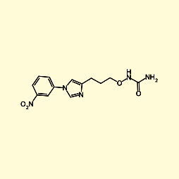 NC(=O)NOCCCc1cn(-c2cccc([N+](=O)[O-])c2)cn1